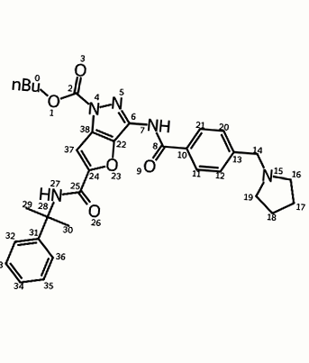 CCCCOC(=O)n1nc(NC(=O)c2ccc(CN3CCCC3)cc2)c2oc(C(=O)NC(C)(C)c3ccccc3)cc21